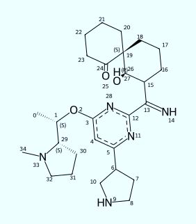 C[C@H](Oc1cc(C2CCNC2)nc(C(=N)C2CCC[C@@]3(CCCCC3=O)[C@@H]2O)n1)[C@@H]1CCCN1C